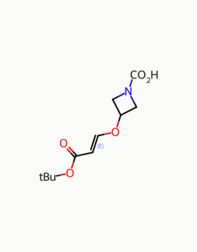 CC(C)(C)OC(=O)/C=C/OC1CN(C(=O)O)C1